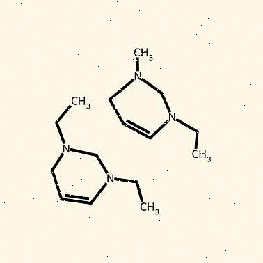 CCN1C=CCN(C)C1.CCN1C=CCN(CC)C1